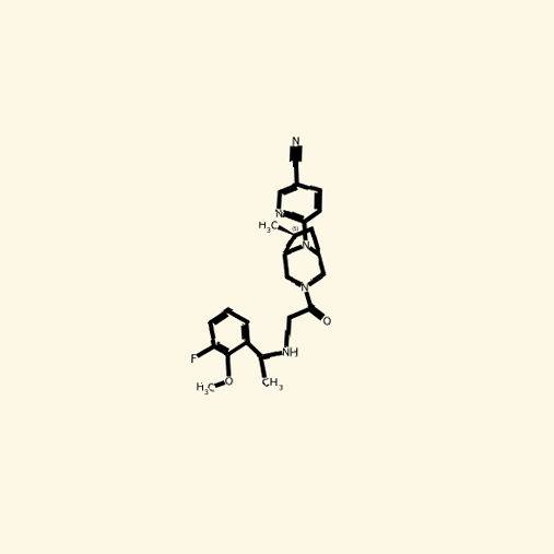 COc1c(F)cccc1C(C)NCC(=O)N1CC2C[C@H](C)C(C1)N2c1ccc(C#N)cn1